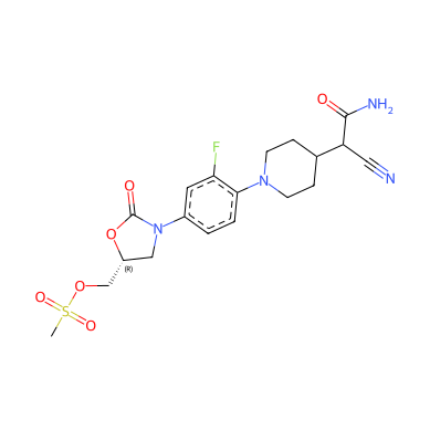 CS(=O)(=O)OC[C@H]1CN(c2ccc(N3CCC(C(C#N)C(N)=O)CC3)c(F)c2)C(=O)O1